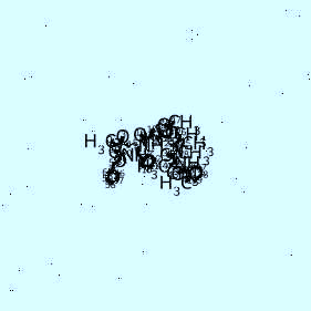 COC(=O)[C@@H](C[C@@H](Cc1ccccc1)NC(=O)c1csc([C@@H](C[C@@H](C(C)C)N(C)C(=O)[C@@H](NC(=O)C2CCCCN2C)C(C)C)OC(C)=O)n1)NC(=O)OCc1ccccc1